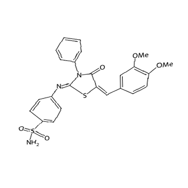 COc1ccc(C=C2S/C(=N\c3ccc(S(N)(=O)=O)cc3)N(c3ccccc3)C2=O)cc1OC